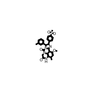 COC1=CC(C)C2=C3N(CC(=O)N2)C(=O)N2C(=NC(c4ccc(S(C)(=O)=O)cc4)C2c2cccc(C)c2)C13C